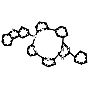 c1ccc(-c2nc3nc(n2)-c2cccc(c2)-c2cccc(c2)N(c2ccc4sc5ccccc5c4c2)c2cccc(c2)-c2cccc-3c2)cc1